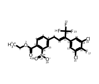 CCOC(=O)c1ccc(CC=C(c2cc(Cl)c(F)c(Cl)c2)C(F)(F)F)cc1[N+](=O)[O-]